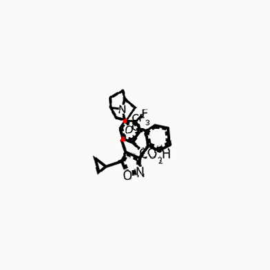 O=C(O)c1ccc(N2C3CCC2CC(OCc2c(-c4ccccc4OC(F)(F)F)noc2C2CC2)C3)c(F)c1